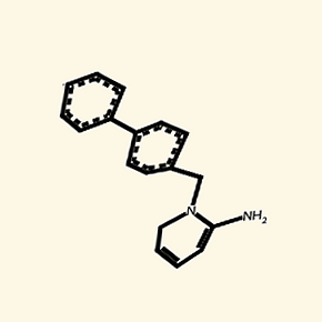 NC1=CC=CCN1Cc1ccc(-c2cc[c]cc2)cc1